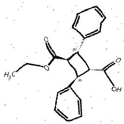 CCOC(=O)[C@H]1[C@H](c2ccccc2)[C@H](C(=O)O)[C@H]1c1ccccc1